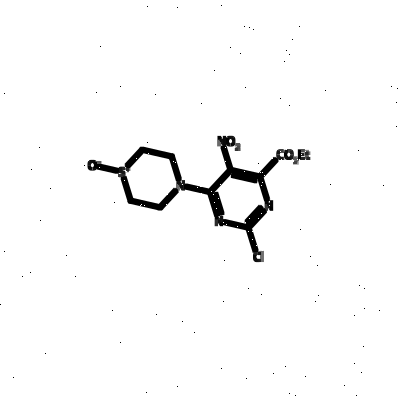 CCOC(=O)c1nc(Cl)nc(N2CC[S+]([O-])CC2)c1[N+](=O)[O-]